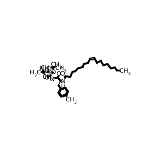 CCCCCCCC/C=C\CCCCCCCC(=O)N[C@@H](Cc1ccc(C)cc1)C(=O)OP(=O)(OC(C)(C)C)OC(C)(C)C